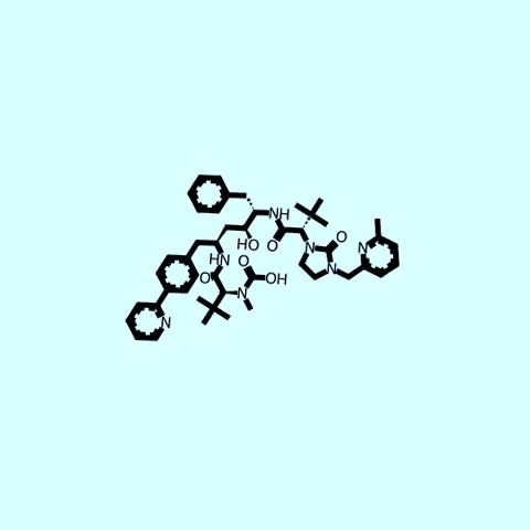 Cc1cccc(CN2CCN([C@H](C(=O)N[C@@H](Cc3ccccc3)[C@@H](O)C[C@H](Cc3ccc(-c4ccccn4)cc3)NC(=O)[C@@H](N(C)C(=O)O)C(C)(C)C)C(C)(C)C)C2=O)n1